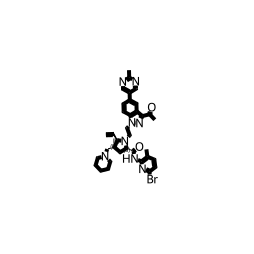 C=C[C@@H]1[C@@H](CN2CCCCC2)C[C@@H](C(=O)Nc2nc(Br)ccc2C)N1CCn1nc(C(C)=O)c2cc(-c3cnc(C)nc3)ccc21